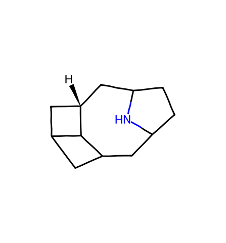 C1CC2C[C@H]3CC4CC(CC1N2)C43